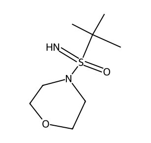 CC(C)(C)S(=N)(=O)N1CCOCC1